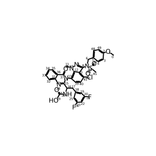 COc1ccc(CN(c2nn(C)c3c(-n4c(C(Cc5cc(F)cc(F)c5)NC(=O)O)nc5ccccc5c4=O)ccc(Cl)c23)S(C)(=O)=O)cc1